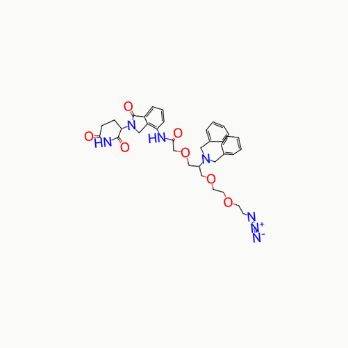 [N-]=[N+]=NCCOCCOCC(COCC(=O)Nc1cccc2c1CN(C1CCC(=O)NC1=O)C2=O)N(Cc1ccccc1)Cc1ccccc1